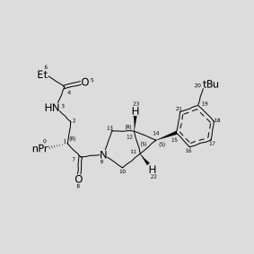 CCC[C@H](CNC(=O)CC)C(=O)N1C[C@@H]2[C@H](C1)[C@H]2c1cccc(C(C)(C)C)c1